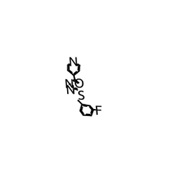 Fc1cccc(CSc2nnc(-c3ccncc3)o2)c1